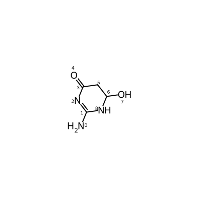 NC1=NC(=O)CC(O)N1